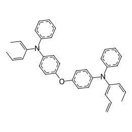 C=C/C=C(\C=C/C)N(c1ccccc1)c1ccc(Oc2ccc(N(C(/C=C\C)=C/C)c3ccccc3)cc2)cc1